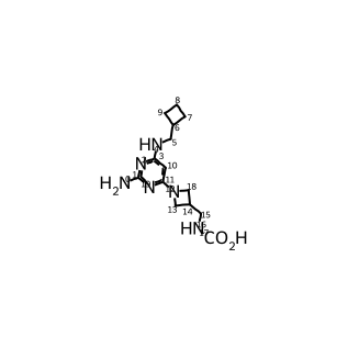 Nc1nc(NCC2CCC2)cc(N2CC(CNC(=O)O)C2)n1